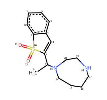 CC(C1=Cc2ccccc2S1(=O)=O)N1CCCCNCC1